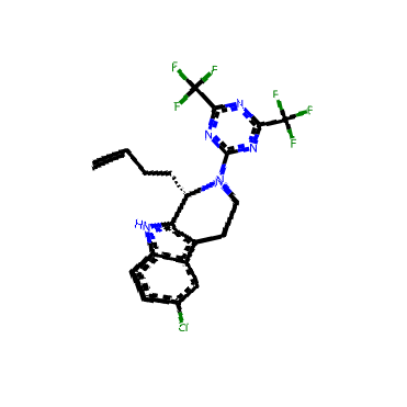 C=CCC[C@H]1c2[nH]c3ccc(Cl)cc3c2CCN1c1nc(C(F)(F)F)nc(C(F)(F)F)n1